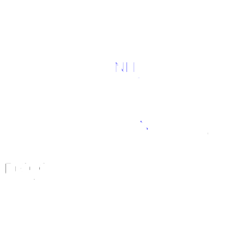 CCOC(=O)c1ccc(N)c(N2CCC3(CC2)CC3)c1